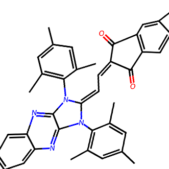 Cc1cc(C)c(N2C(=C/C=C3\C(=O)c4ccc(C)cc4C3=O)N(c3c(C)cc(C)cc3C)c3nc4ccccc4nc32)c(C)c1